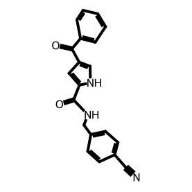 N#Cc1ccc(CNC(=O)c2cc(C(=O)c3ccccc3)c[nH]2)cc1